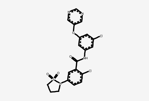 O=C(Nc1cc(Cl)cc(Oc2cncnc2)c1)c1cc(N2CCCS2(=O)=O)ccc1Cl